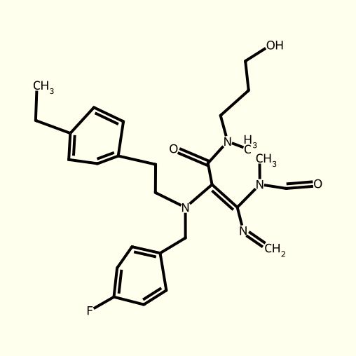 C=N/C(=C(/C(=O)N(C)CCCO)N(CCc1ccc(CC)cc1)Cc1ccc(F)cc1)N(C)C=O